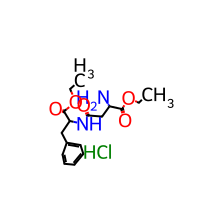 CCOC(=O)C(N)CC(=O)NC(Cc1ccccc1)C(=O)OCC.Cl